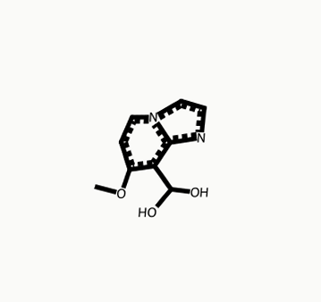 COc1ccn2ccnc2c1C(O)O